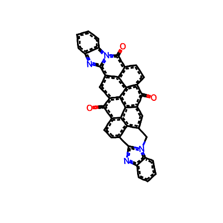 O=c1c2cc3c4c(ccc5c(=O)c6cc7c8c(ccc1c8c6c2c45)c(=O)n1c2ccccc2nc71)-c1nc2ccccc2n1C3